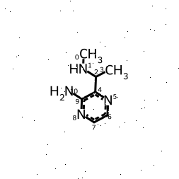 CNC(C)c1nccnc1N